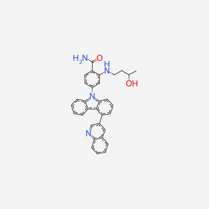 CC(O)CCNc1cc(-n2c3ccccc3c3c(-c4cnc5ccccc5c4)cccc32)ccc1C(N)=O